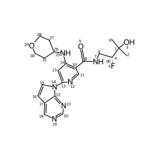 CC(C)(O)[C@H](F)CNC(=O)c1cnc(-n2ccc3cncnc32)cc1NC1CCOCC1